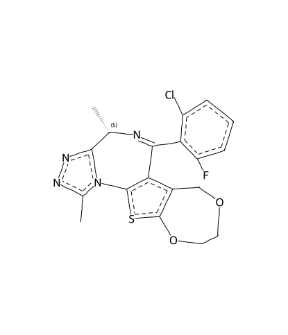 Cc1nnc2n1-c1sc3c(c1C(c1c(F)cccc1Cl)=N[C@H]2C)COCCO3